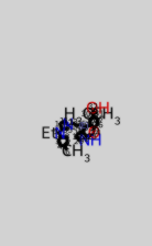 CCN(c1ccc(C)cc1)C1CCN(CC/C=C2\C3=CC=CNC3COc3ccc(C(C)(C)O)cc32)C1